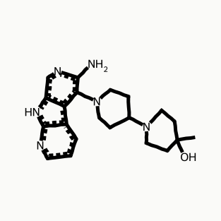 CC1(O)CCN(C2CCN(c3c(N)ncc4[nH]c5ncccc5c34)CC2)CC1